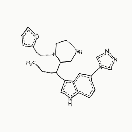 CCC(c1c[nH]c2ccc(-n3cnnc3)cc12)C1CNCCN1Cc1ccco1